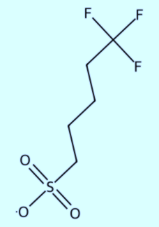 [O]S(=O)(=O)CCCCC(F)(F)F